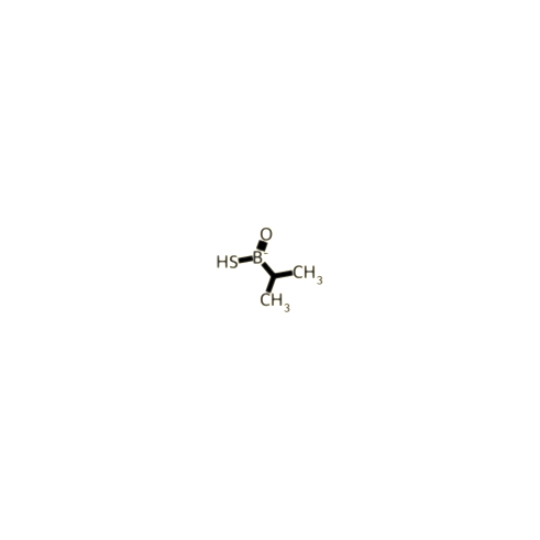 CC(C)[B-](=O)S